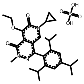 CCOc1c(=O)n(C2CC2)cc2c(-c3c(C(C)C)cc(C(C)C)cc3C(C)C)nn(C)c(=O)c12.O=S(=O)(O)O